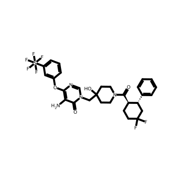 Nc1c(Oc2cccc(S(F)(F)(F)(F)F)c2)ncn(CC2(O)CCN(C(=O)[C@@H]3CCC(F)(F)C[C@H]3c3ccccc3)CC2)c1=O